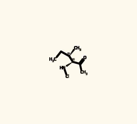 CC[C@H](C)[C@@H](NCl)C(C)=O